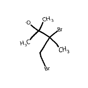 CC(C)([O])C(C)(Br)CBr